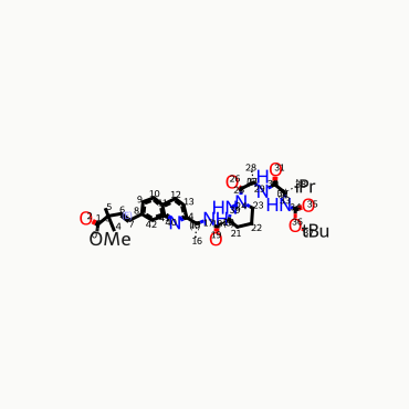 COC(=O)C(C)(C)/C=C/c1ccc2ccc([C@@H](C)NC(=O)[C@@H]3CCCN(C(=O)[C@H](C)NC(=O)[C@@H](NC(=O)OC(C)(C)C)C(C)C)N3)nc2c1